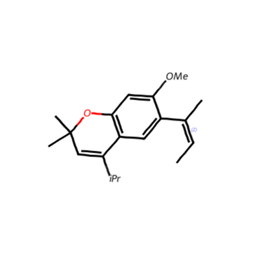 C/C=C(/C)c1cc2c(cc1OC)OC(C)(C)C=C2C(C)C